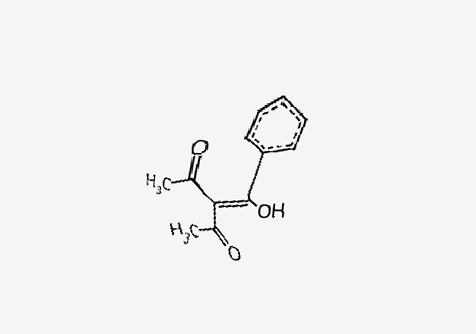 CC(=O)C(C(C)=O)=C(O)c1ccccc1